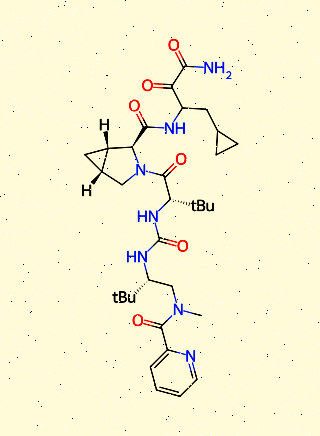 CN(C[C@@H](NC(=O)N[C@H](C(=O)N1C[C@@H]2C[C@@H]2[C@H]1C(=O)NC(CC1CC1)C(=O)C(N)=O)C(C)(C)C)C(C)(C)C)C(=O)c1ccccn1